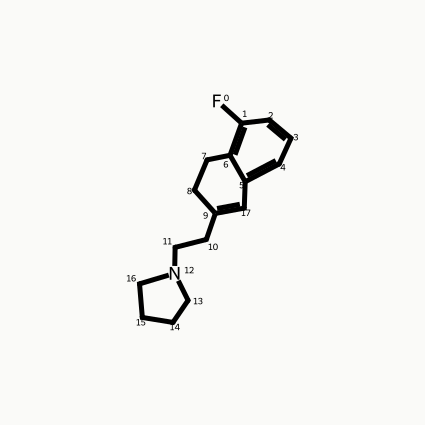 Fc1cccc2c1CCC(CCN1CCCC1)=C2